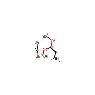 CCCCOC([CH][SiH3])OCCCC.[Br][Mg][Br]